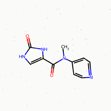 CN(C(=O)c1c[nH]c(=O)[nH]1)c1ccncc1